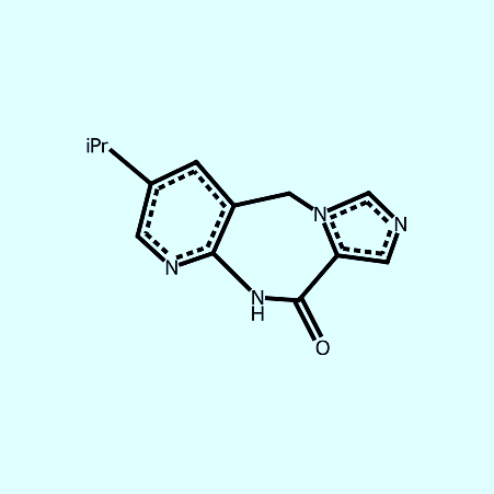 CC(C)c1cnc2c(c1)Cn1cncc1C(=O)N2